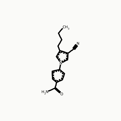 CCCCc1cn(-c2ccc(C(N)=O)cc2)cc1C#N